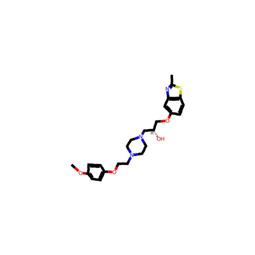 COc1ccc(OCCN2CCN(C[C@@H](O)COc3ccc4sc(C)nc4c3)CC2)cc1